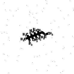 CNCC(C)(C)C(C)(C)C(C)(C)C(C)(C)C